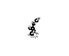 CC(C)N1Cc2cc(-c3cnn(C4CC[S+]([O-])CC4)c3)c3c(c2-c2cc(=O)c(C(=O)O)cn21)CCO3